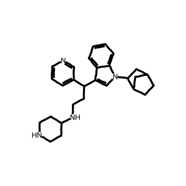 c1cncc(C(CCNC2CCNCC2)c2cn(C3CC4CCC3C4)c3ccccc23)c1